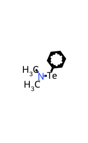 CN(C)[Te]c1ccccc1